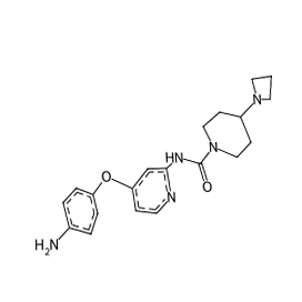 Nc1ccc(Oc2ccnc(NC(=O)N3CCC(N4CCC4)CC3)c2)cc1